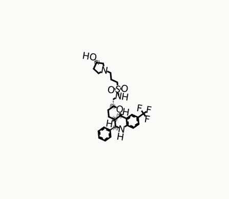 O=S(=O)(CCCN1CC[C@@H](O)C1)NC[C@H]1CC[C@@H]2[C@H](O1)c1cc(C(F)(F)F)ccc1N[C@H]2c1ccccc1